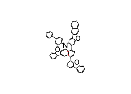 c1ccc(-c2ccc(N(c3cc4c(cc3-c3ccc(-c5cccc6c5oc5ccccc56)cc3)oc3cc5ccccc5cc34)c3cccc4c3oc3ccccc34)cc2)cc1